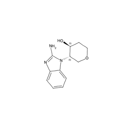 Nc1nc2ccccc2n1[C@H]1COCC[C@@H]1O